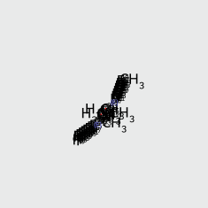 Cc1cc(/C=C/C(F)(F)C(F)(F)C(F)(F)C(F)(F)C(F)(F)C(F)(F)C(F)(F)C(C)(F)F)cc(C)c1N1C=CN(c2c(C)cc(/C=C/C(F)(F)C(F)(F)C(F)(F)C(F)(F)C(F)(F)C(F)(F)C(F)(F)C(F)(F)F)cc2C)C1C(C)C